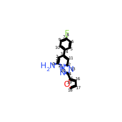 Nc1cc(-c2ccc(F)cc2)cc2nc(-c3ccco3)nn12